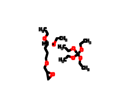 CCO[SiH](CCCOCC1CO1)OCC.CCO[Si](OCC)(OCC)OCC